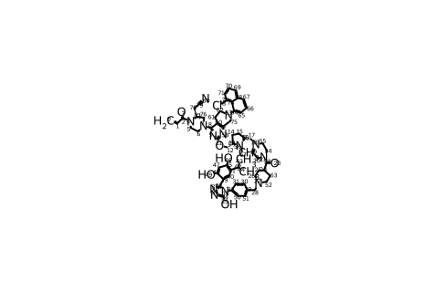 C=CC(=O)N1CCN(c2nc(OC[C@@H]3CC[C@H](CN4CCN(C(=O)C5CCN(Cc6ccc(-n7c(O)nnc7-c7cc(C(C)C)c(O)cc7O)cc6)CC5)CC4)N3C)nc3c2CCN(c2cccc4cccc(Cl)c24)C3)C[C@@H]1CC#N